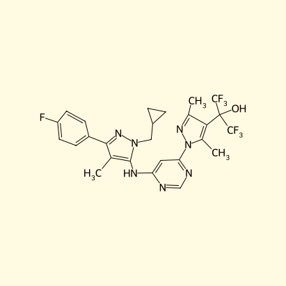 Cc1nn(-c2cc(Nc3c(C)c(-c4ccc(F)cc4)nn3CC3CC3)ncn2)c(C)c1C(O)(C(F)(F)F)C(F)(F)F